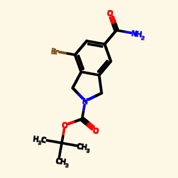 CC(C)(C)OC(=O)N1Cc2cc(C(N)=O)cc(Br)c2C1